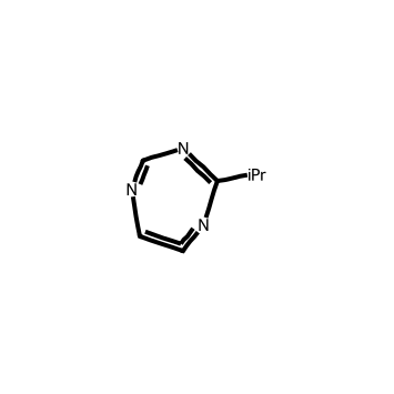 CC(C)C1=NC=NC=C=N1